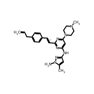 C=CCc1ccc(/C=C/c2nc(Nc3cc(C)n(N)n3)cc(N3CCN(C)CC3)n2)cc1